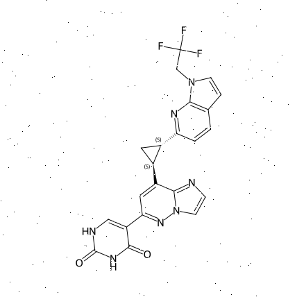 O=c1[nH]cc(-c2cc([C@H]3C[C@@H]3c3ccc4ccn(CC(F)(F)F)c4n3)c3nccn3n2)c(=O)[nH]1